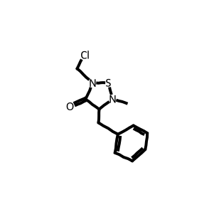 CN1SN(CCl)C(=O)C1Cc1ccccc1